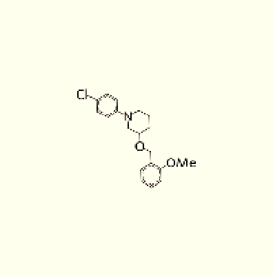 COc1ccccc1COC1CCCN(c2ccc(Cl)cc2)C1